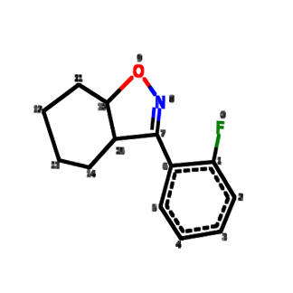 Fc1ccccc1C1=NOC2CCCCC12